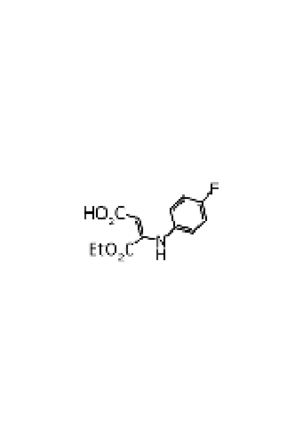 CCOC(=O)C(=CC(=O)O)Nc1ccc(F)cc1